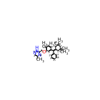 CC1=C=NNC(COc2cc(C(=C3CC(C)(C)CC(C)(C)C3)c3ccccc3)ccc2C)=N1